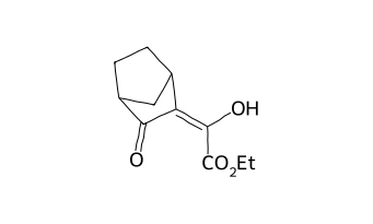 CCOC(=O)C(O)=C1C(=O)C2CCC1C2